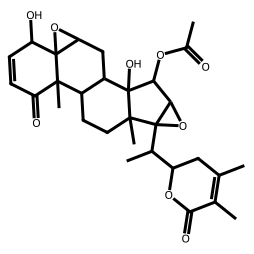 CC(=O)OC1C2OC2(C(C)C2CC(C)=C(C)C(=O)O2)C2(C)CCC3C(CC4OC45C(O)C=CC(=O)C35C)C12O